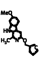 COc1ccc2c(c1)[nH]c1c(C)nc(OCc3ccccc3)cc12